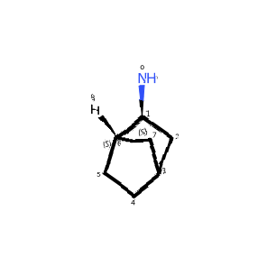 [NH][C@H]1CC2CC[C@H]1C2